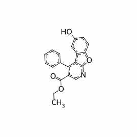 CCOC(=O)c1cnc2oc3ccc(O)cc3c2c1-c1ccccc1